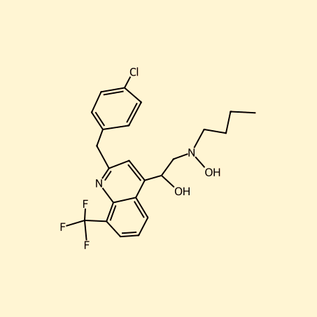 CCCCN(O)CC(O)c1cc(Cc2ccc(Cl)cc2)nc2c(C(F)(F)F)cccc12